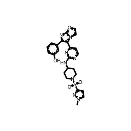 Cn1ccc(S(=O)(=O)N2CCC(Nc3nccc(-c4c(-c5cccc(O)c5)nc5occn45)n3)CC2)n1